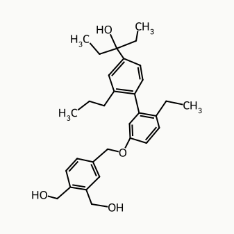 CCCc1cc(C(O)(CC)CC)ccc1-c1cc(OCc2ccc(CO)c(CO)c2)ccc1CC